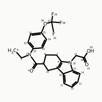 CCN(C(=O)C1CCc2c(c3ccccc3n2CC(=O)O)C1)c1ccc(OC(F)(F)F)cc1